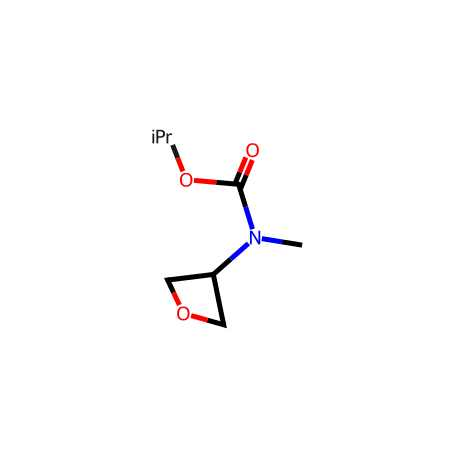 CC(C)OC(=O)N(C)C1COC1